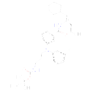 CCC[C@H](CC1CCCCC1)NC(=O)c1cccc(N(CCCNC(=O)OC(C)(C)C)c2cccc(Cl)c2)c1